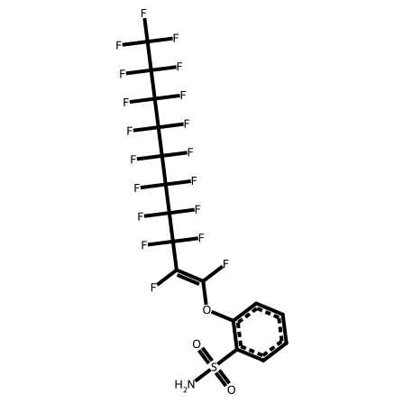 NS(=O)(=O)c1ccccc1OC(F)=C(F)C(F)(F)C(F)(F)C(F)(F)C(F)(F)C(F)(F)C(F)(F)C(F)(F)C(F)(F)F